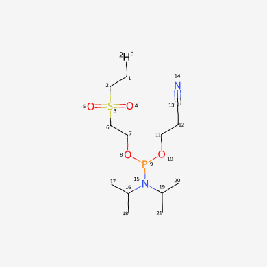 [2H]CCS(=O)(=O)CCOP(OCCC#N)N(C(C)C)C(C)C